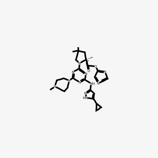 CN1CCN(c2nc(Nc3cc(C4CC4)[nH]n3)nc(N3CC(C)(C)C[C@@]3(C)C(=O)Oc3cnccn3)n2)CC1